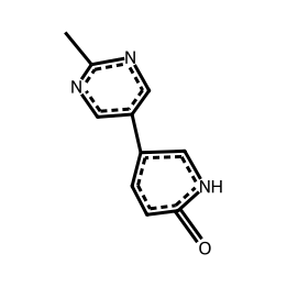 Cc1ncc(-c2ccc(=O)[nH]c2)cn1